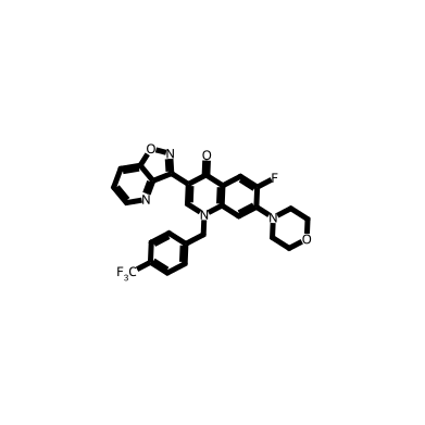 O=c1c(-c2noc3cccnc23)cn(Cc2ccc(C(F)(F)F)cc2)c2cc(N3CCOCC3)c(F)cc12